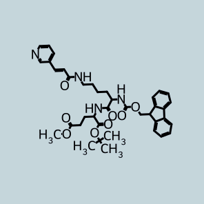 COC(=O)CCC(NC(=O)C(CCCCNC(=O)/C=C/c1cccnc1)NC(=O)OCC1c2ccccc2-c2ccccc21)C(=O)OC(C)(C)C